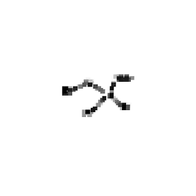 CCO[Si](OC)(C(C)C)C(C)C